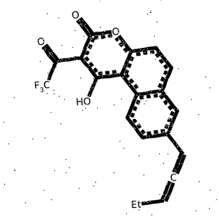 CCC=C=Cc1ccc2c(ccc3oc(=O)c(C(=O)C(F)(F)F)c(O)c32)c1